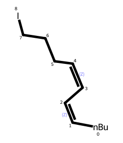 CCCC/C=C\C=C/CCCI